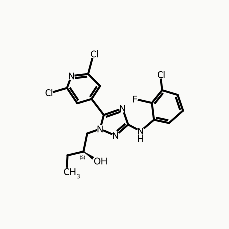 CC[C@H](O)Cn1nc(Nc2cccc(Cl)c2F)nc1-c1cc(Cl)nc(Cl)c1